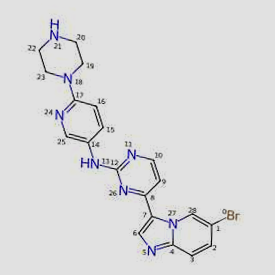 Brc1ccc2ncc(-c3ccnc(Nc4ccc(N5CCNCC5)nc4)n3)n2c1